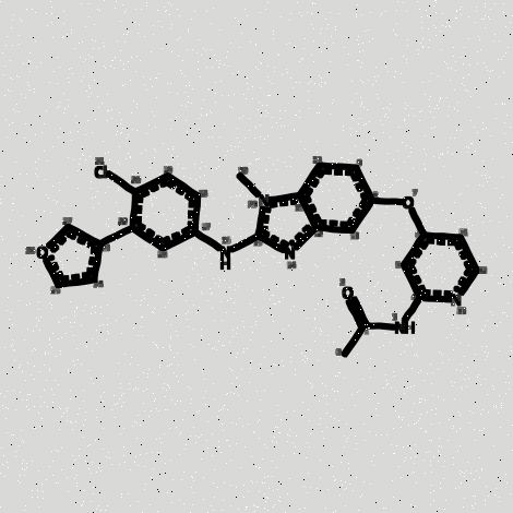 CC(=O)Nc1cc(Oc2ccc3c(c2)nc(Nc2ccc(Cl)c(-c4ccoc4)c2)n3C)ccn1